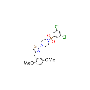 COc1ccc(OC)c(Cc2csc(N3CCN(S(=O)(=O)c4cc(Cl)cc(Cl)c4)CC3)n2)c1